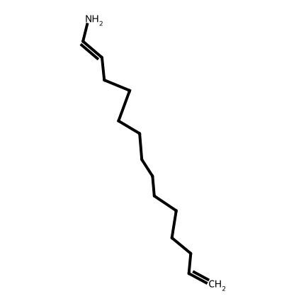 C=CCCCCCCCCCCC=CN